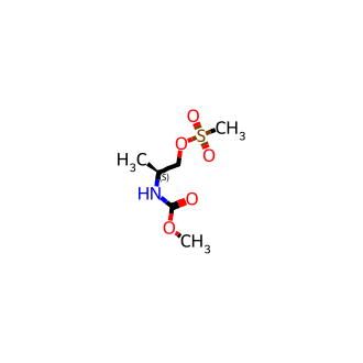 COC(=O)N[C@@H](C)COS(C)(=O)=O